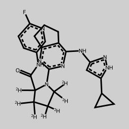 [2H]C1([2H])N(c2nc3c(c(Nc4cc(C5CC5)[nH]n4)n2)CCC3)C([2H])(C(=O)Nc2ccc(F)nc2)C([2H])([2H])C1([2H])[2H]